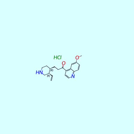 C=C[C@H]1CNCC[C@H]1CCC(=O)c1ccnc2ccc(OC)cc12.Cl